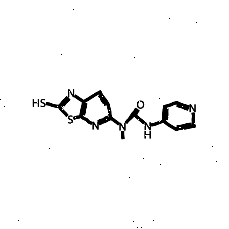 CN(C(=O)Nc1ccncc1)c1ccc2nc(S)sc2n1